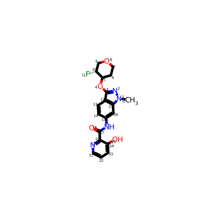 Cn1nc(OC2CCOC[C@H]2F)c2ccc(NC(=O)c3ncccc3O)cc21